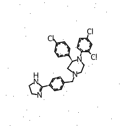 Clc1ccc([C@@H]2CN(Cc3ccc(C4=NCCN4)cc3)CCN2c2ccc(Cl)cc2Cl)cc1